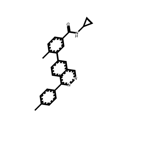 Cc1ccc(-c2nncc3cc(-c4cc(C(=O)NC5CC5)ccc4C)ccc23)cc1